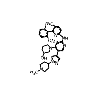 COc1cccc(F)c1-c1nc(Nc2cc(N3CCC[C@H](O)C3)c(-c3cnn(C4CCN(C)CC4)c3)cn2)ccc1C#N